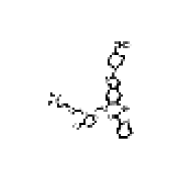 C[Si](C)(C)CCOCN1C(=O)CC[C@H]1COc1cc2nn([C@H]3CC[C@H](C=O)CC3)cc2cc1NC(=O)c1ccccn1